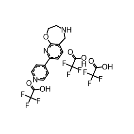 O=C(O)C(F)(F)F.O=C(O)C(F)(F)F.O=C(O)C(F)(F)F.c1cc(-c2ccc3c(n2)OCCNC3)ccn1